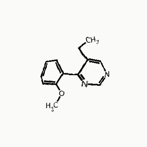 CCc1cn[c]nc1-c1ccccc1OC